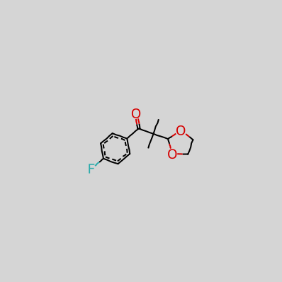 CC(C)(C(=O)c1ccc(F)cc1)C1OCCO1